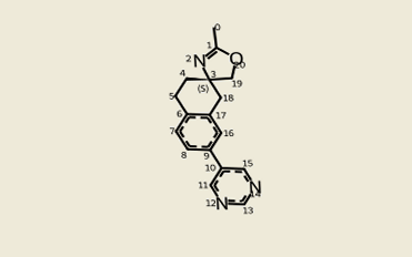 CC1=N[C@]2(CCc3ccc(-c4cncnc4)cc3C2)CO1